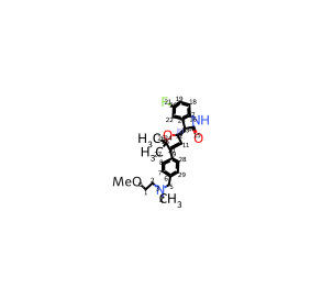 COCCN(C)Cc1ccc(C2=C/C(=C3\C(=O)Nc4ccc(F)cc43)OC2(C)C)cc1